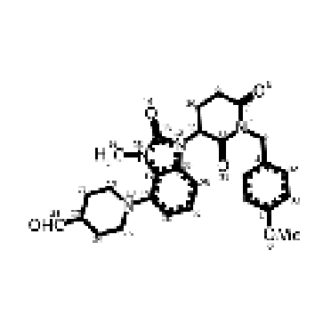 COc1ccc(CN2C(=O)CCC(n3c(=O)n(C)c4c(N5CCC(C=O)CC5)cccc43)C2=O)cc1